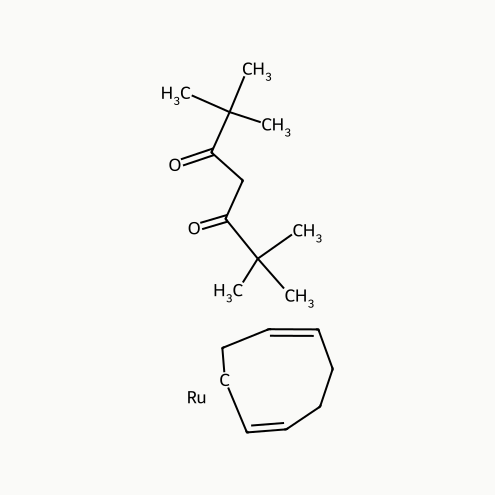 C1=CCCC=CCC1.CC(C)(C)C(=O)CC(=O)C(C)(C)C.[Ru]